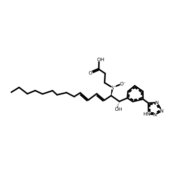 CCCCCCCCC/C=C/C=C/[C@H]([C@@H](O)c1cccc(-c2nnn[nH]2)c1)[S+]([O-])CCC(=O)O